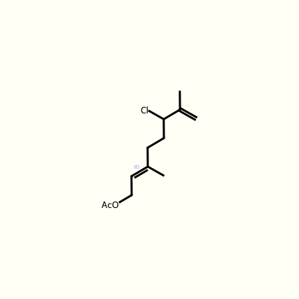 C=C(C)C(Cl)CC/C(C)=C/COC(C)=O